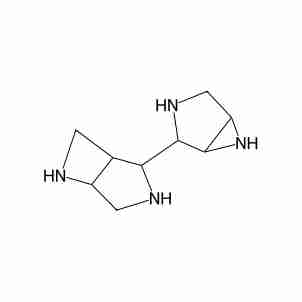 C1NC(C2NCC3NC32)C2CNC12